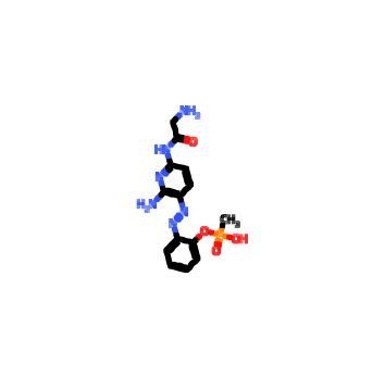 CP(=O)(O)Oc1ccccc1/N=N/c1ccc(NC(=O)CN)nc1N